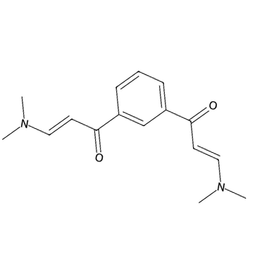 CN(C)C=CC(=O)c1cccc(C(=O)C=CN(C)C)c1